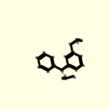 CC(=O)OCc1cccc(Oc2ccccc2)c1.CCCC